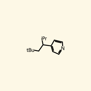 CC(C)C(CC(C)(C)C)c1ccncc1